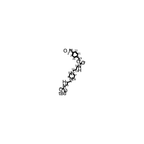 CC(C)(C)OC(=O)NCCCN1CCN(CCCNC(=O)OCc2ccc([N+](=O)[O-])cc2)CC1